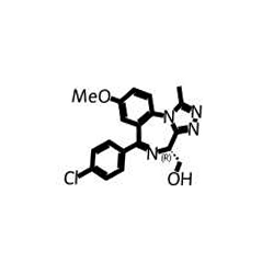 COc1ccc2c(c1)C(c1ccc(Cl)cc1)=N[C@@H](CO)c1nnc(C)n1-2